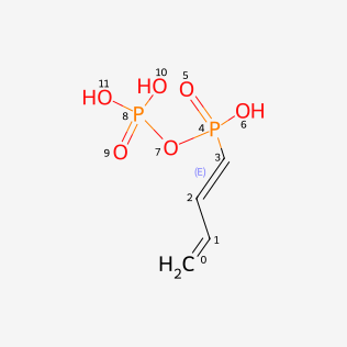 C=C/C=C/P(=O)(O)OP(=O)(O)O